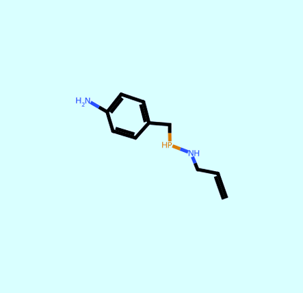 C=CCNPCc1ccc(N)cc1